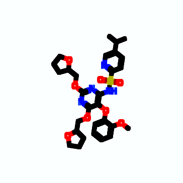 COc1ccccc1Oc1c(NS(=O)(=O)c2ccc(C(C)C)cn2)nc(OCC2CCCO2)nc1OCC1CCCO1